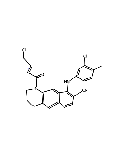 N#Cc1cnc2cc3c(cc2c1Nc1ccc(F)c(Cl)c1)N(C(=O)/C=C/CCl)CCO3